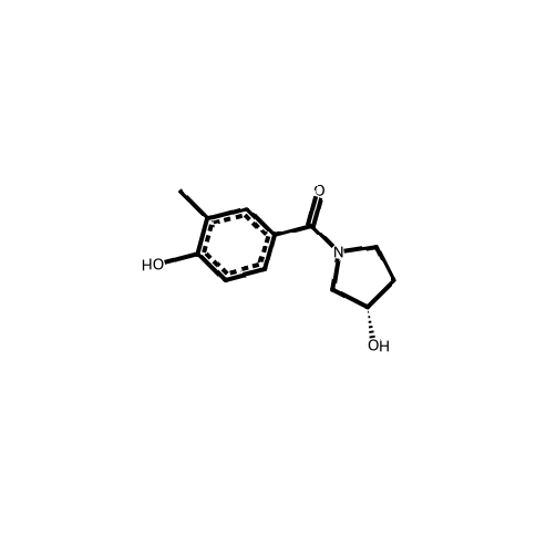 Cc1cc(C(=O)N2CC[C@H](O)C2)ccc1O